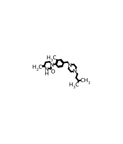 C=C1CCN(c2ccc(CN3CCN(CCC(C)C)CC3)cc2C)C(=O)N1